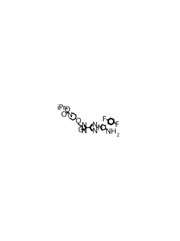 CC(C)OC(=O)N1CCC(OCc2nc(-c3cnc(N4C[C@H](c5cc(F)ccc5F)[C@@H](N)C4)nc3)no2)CC1